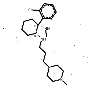 CN[C@@]1(c2ccccc2Cl)CCCC[C@H]1NCCCN1CCN(C)CC1